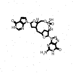 Nc1nc2c(nnn2[C@@H]2OC3CC4C[C@H](n5ccc6c(=O)[nH]cnc65)O[C@@H]4COP(=O)(S)O[C@@H]2C3)c(=O)[nH]1